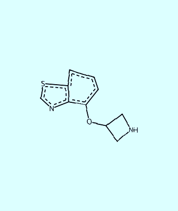 c1cc(OC2CNC2)c2ncsc2c1